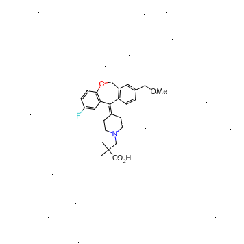 COCc1ccc2c(c1)COc1ccc(F)cc1C2=C1CCN(CC(C)(C)C(=O)O)CC1